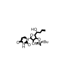 C=CC[C@@H](O)[C@H]1O[C@@H](n2ccc(=O)[nH]c2=O)C(OC)C1O[Si](C)(C)C(C)(C)C